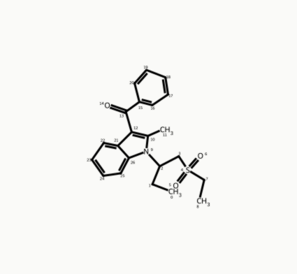 CCC(CS(=O)(=O)CC)n1c(C)c(C(=O)c2ccccc2)c2ccccc21